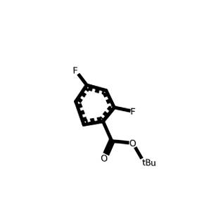 CC(C)(C)OC(=O)c1ccc(F)cc1F